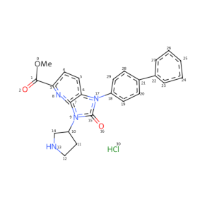 COC(=O)c1ccc2c(n1)n(C1CCNC1)c(=O)n2-c1ccc(-c2ccccc2)cc1.Cl